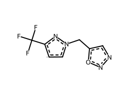 FC(F)(F)c1[c]cn(Cc2cnno2)n1